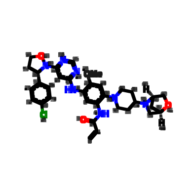 C=CC(=O)Nc1cc(Nc2cc(N3OCC[C@@H]3c3ccc(Cl)cc3)ncn2)c(OC)cc1N1CCC(N2C[C@H]3C[C@@H]2CO3)CC1